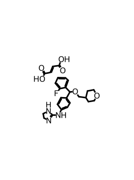 Fc1ccccc1C(OCC1CCOCC1)c1ccc(NC2=NCCN2)cc1.O=C(O)C=CC(=O)O